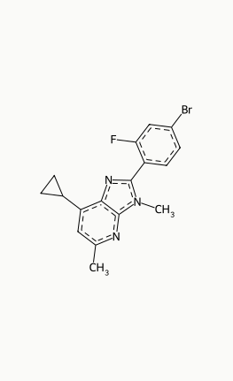 Cc1cc(C2CC2)c2nc(-c3ccc(Br)cc3F)n(C)c2n1